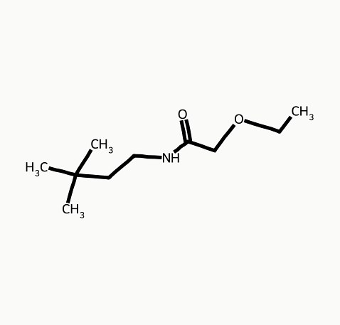 CCOCC(=O)NCCC(C)(C)C